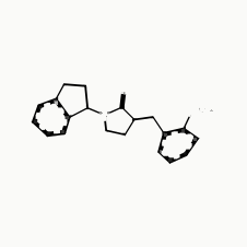 COc1ccccc1CC1CCN(C2CCc3ccccc32)C1=O